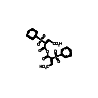 O=C(O)/C=C(\C(=O)OC(=O)/C(=C\C(=O)O)S(=O)(=O)c1ccccc1)S(=O)(=O)c1ccccc1